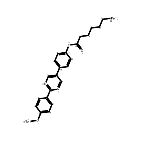 CCCCCCCCCOc1ccc(-c2ncc(-c3ccc(OC(=O)CCCCCC(C)CCC)cc3)cn2)cc1